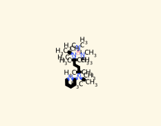 CN(C)B(N(C)C)N(C(C)(C)C)C(C)(C)CCC(C)(C)N(c1ccccn1)C(C)(C)C